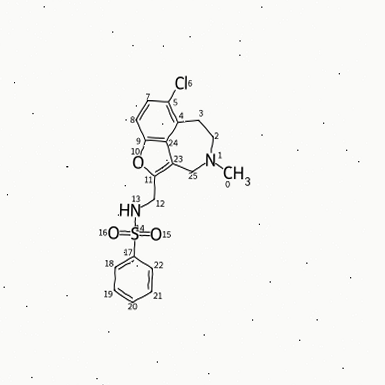 CN1CCc2c(Cl)ccc3oc(CNS(=O)(=O)c4ccccc4)c(c23)C1